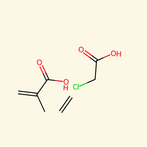 C=C.C=C(C)C(=O)O.O=C(O)CCl